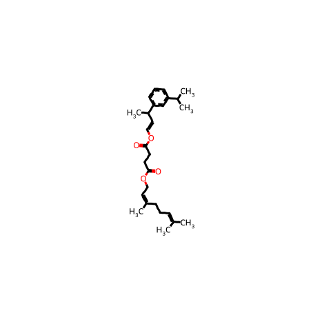 CC(C)=CCCC(C)=CCOC(=O)CCC(=O)OC=CC(C)c1cccc(C(C)C)c1